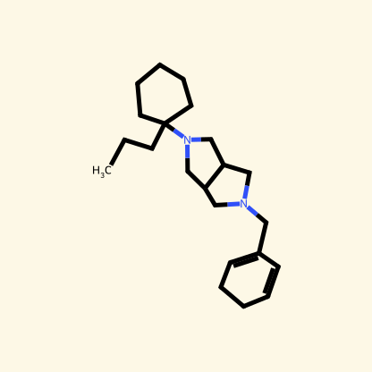 CCCC1(N2CC3CN(CC4=CCCC=C4)CC3C2)CCCCC1